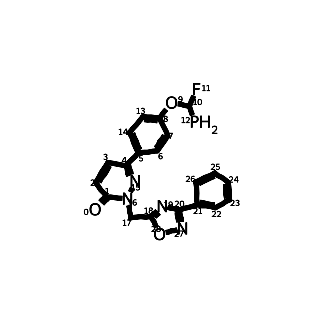 O=c1ccc(-c2ccc(OC(F)P)cc2)nn1Cc1nc(-c2ccccc2)no1